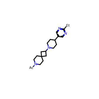 CCc1ncc(C2CCN(C3CC4(CCN(C(C)=O)CC4)C3)CC2)cn1